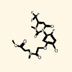 COC(=O)CCN(C)C(=O)COc1cc(-n2c(=O)cc(C(F)(F)F)n(C)c2=O)c(F)cc1Cl